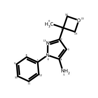 CC1(c2cc(N)n(-c3ccccc3)n2)COC1